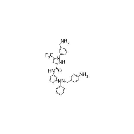 NCc1cccc(N2NC(C(=O)Nc3cccc(C(NCc4ccc(N)cc4)c4ccccc4)c3)C=C2C(F)(F)F)c1